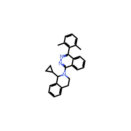 Cc1cccc(C)c1-c1nnc(N2CCc3ccccc3C2C2CC2)c2ccccc12